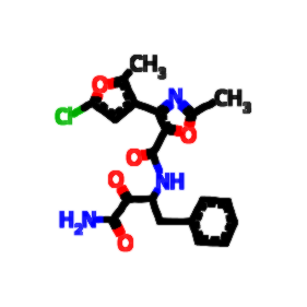 Cc1nc(-c2cc(Cl)oc2C)c(C(=O)NC(Cc2ccccc2)C(=O)C(N)=O)o1